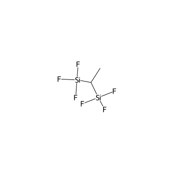 CC([Si](F)(F)F)[Si](F)(F)F